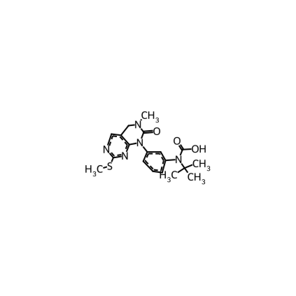 CSc1ncc2c(n1)N(c1cccc(N(C(=O)O)C(C)(C)C)c1)C(=O)N(C)C2